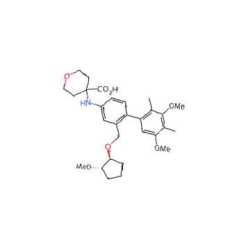 COc1cc(-c2ccc(NC3(C(=O)O)CCOCC3)cc2CO[C@H]2CCC[C@@H]2OC)c(C)c(OC)c1C